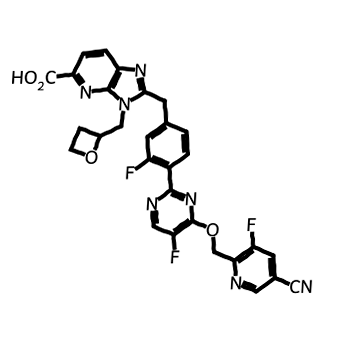 N#Cc1cnc(COc2nc(-c3ccc(Cc4nc5ccc(C(=O)O)nc5n4CC4CCO4)cc3F)ncc2F)c(F)c1